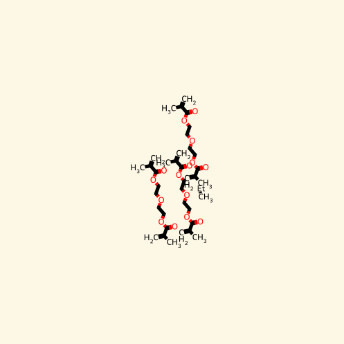 C=C(C)C(=O)OCCOCCOC(=O)C(=C)C.C=C(C)C(=O)OCCOCCOC(=O)C(=C)C.C=C(C)C(=O)OCCOCCOC(=O)C(=C)C.CCC